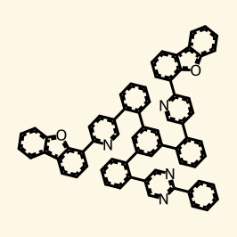 c1ccc(-c2ncc(-c3ccccc3-c3cc(-c4ccccc4-c4ccc(-c5cccc6c5oc5ccccc56)nc4)cc(-c4ccccc4-c4ccc(-c5cccc6c5oc5ccccc56)nc4)c3)cn2)cc1